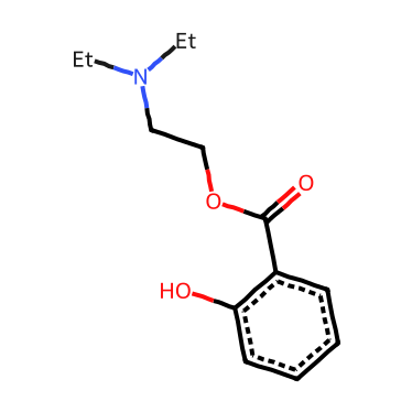 CCN(CC)CCOC(=O)c1ccccc1O